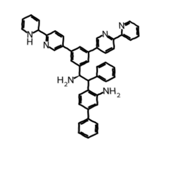 Nc1cc(-c2ccccc2)ccc1C(c1ccccc1)[C@@H](N)c1cc(-c2ccc(-c3ccccn3)nc2)cc(-c2ccc(C3C=CC=CN3)nc2)c1